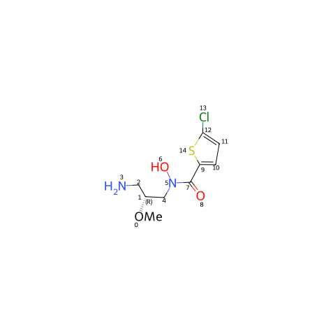 CO[C@H](CN)CN(O)C(=O)c1ccc(Cl)s1